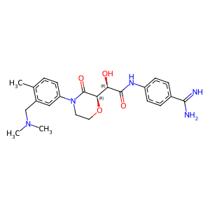 Cc1ccc(N2CCO[C@H]([C@@H](O)C(=O)Nc3ccc(C(=N)N)cc3)C2=O)cc1CN(C)C